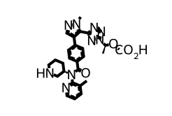 Cc1cccnc1N(C(=O)c1ccc(-c2cnn(C)c2-c2nnn([C@H](C)OC(=O)O)n2)cc1)[C@@H]1CCCNC1